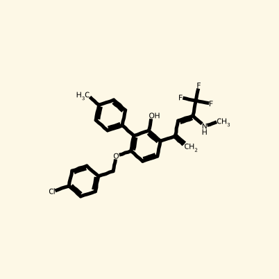 C=C(/C=C(\NC)C(F)(F)F)c1ccc(OCc2ccc(Cl)cc2)c(-c2ccc(C)cc2)c1O